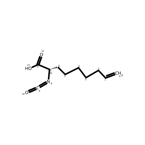 C=CCCCCC[C@H](N=C=O)C(=O)O